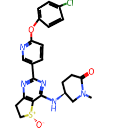 CN1C[C@@H](Nc2nc(-c3ccc(Oc4ccc(Cl)cc4)nc3)nc3c2[S@+]([O-])CC3)CCC1=O